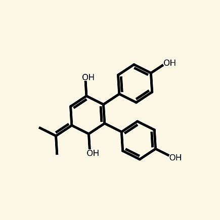 CC(C)=C1C=C(O)C(c2ccc(O)cc2)=C(c2ccc(O)cc2)C1O